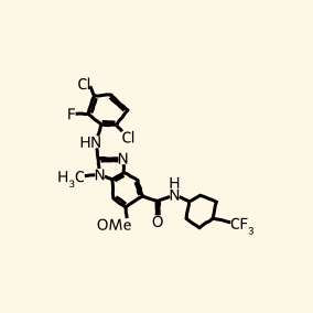 COc1cc2c(cc1C(=O)NC1CCC(C(F)(F)F)CC1)nc(Nc1c(Cl)ccc(Cl)c1F)n2C